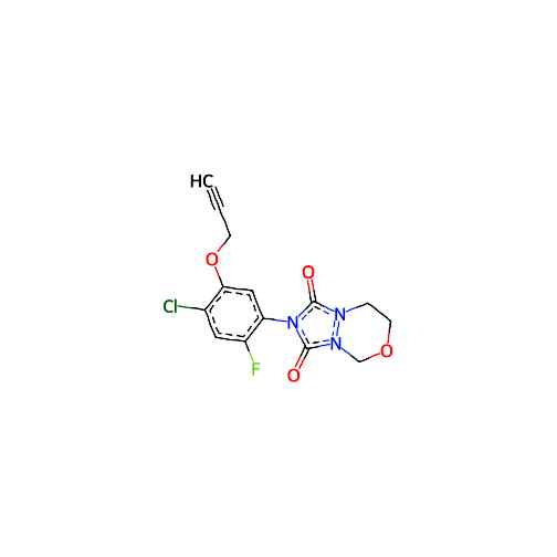 C#CCOc1cc(-n2c(=O)n3n(c2=O)COCC3)c(F)cc1Cl